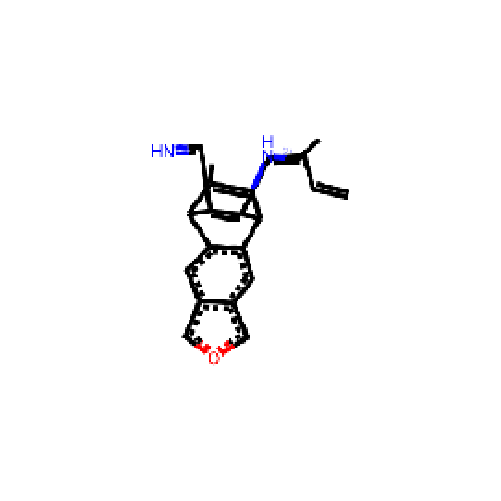 C=C/C=C\C1=C(C)C2C(C=N)=C(NCC)C1c1cc3cocc3cc12